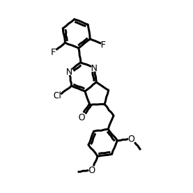 COc1ccc(CC2Cc3nc(-c4c(F)cccc4F)nc(Cl)c3C2=O)c(OC)c1